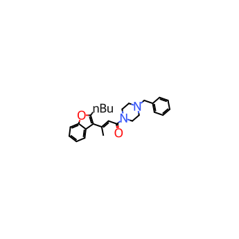 CCCCc1oc2ccccc2c1C(C)=CC(=O)N1CCN(Cc2ccccc2)CC1